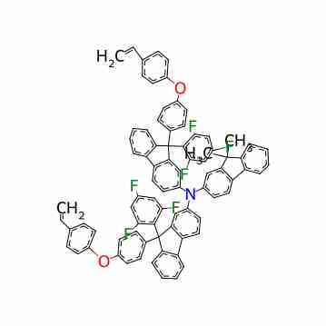 C=Cc1ccc(Oc2ccc(C3(c4c(F)cc(F)cc4F)c4ccccc4-c4ccc(N(c5ccc6c(c5)C(C)(C)c5ccccc5-6)c5ccc6c(c5)C(c5ccc(Oc7ccc(C=C)cc7)cc5)(c5c(F)cc(F)cc5F)c5ccccc5-6)cc43)cc2)cc1